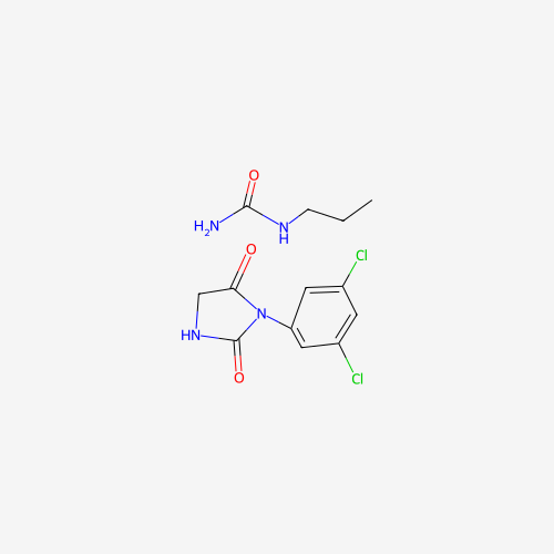 CCCNC(N)=O.O=C1CNC(=O)N1c1cc(Cl)cc(Cl)c1